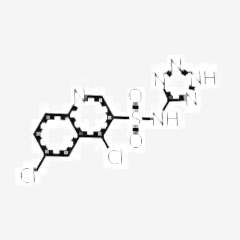 O=S(=O)(Nc1nn[nH]n1)c1cnc2ccc(Cl)cc2c1Cl